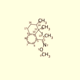 CO/N=C(/C)c1cccc2c1C(C)(I)C(C)CC2